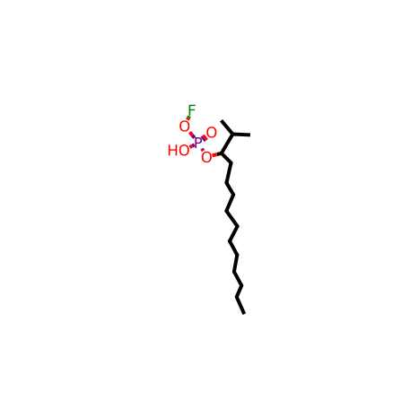 CCCCCCCCCCCC(OP(=O)(O)OF)C(C)C